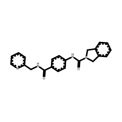 O=C(NCc1ccccn1)c1ccc(NC(=O)N2Cc3ccccc3C2)cc1